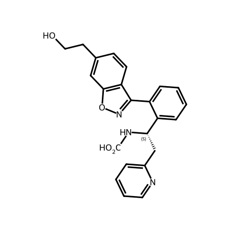 O=C(O)N[C@@H](Cc1ccccn1)c1ccccc1-c1noc2cc(CCO)ccc12